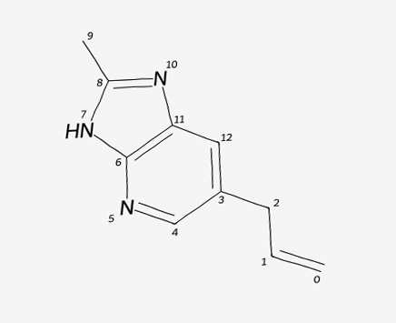 C=CCc1cnc2[nH]c(C)nc2c1